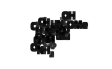 COC(=O)[C@@H](NC(=O)N[C@H](C(=O)N1C[C@H]2[C@@H]([C@H]1C(=O)NC(CC1CCC1)C(=O)C(N)=O)C2(Cl)Cl)C(C)(C)C)C(C)(C)O